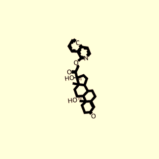 CC12CCC(=O)C=C1CCC1C2[C@@H](O)CC2(C)C1CC[C@]2(O)C(=O)COc1nccc2ccccc12